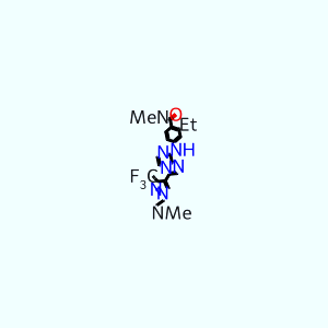 CCc1cc(Nc2nccn3c(-c4cn(CCNC)nc4C(F)(F)F)cnc23)ccc1C(=O)NC